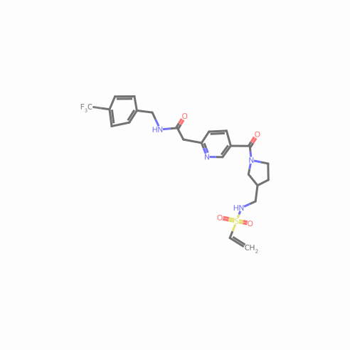 C=CS(=O)(=O)NCC1CCN(C(=O)c2ccc(CC(=O)NCc3ccc(C(F)(F)F)cc3)nc2)C1